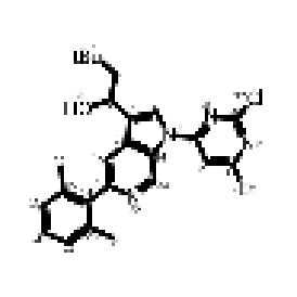 CCc1cc(-n2cc(C(O)CC(C)(C)C)c3cc(-c4c(C)cccc4C)ncc32)nc(Cl)n1